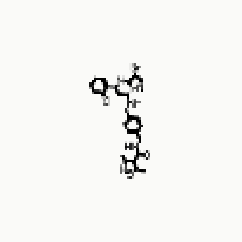 Cc1noc(C)c1C(=O)NCc1ccc(CNc2cc(-c3ccccc3Cl)nc3c(Br)cnn23)cc1